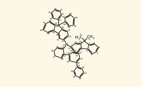 CC1(C)c2ccccc2-c2ccc(N(C3=CCCC=C3c3cccc(-c4ccccc4)c3)c3ccc4c(c3)-c3ccccc3C4(c3ccccc3)c3ccccc3)cc21